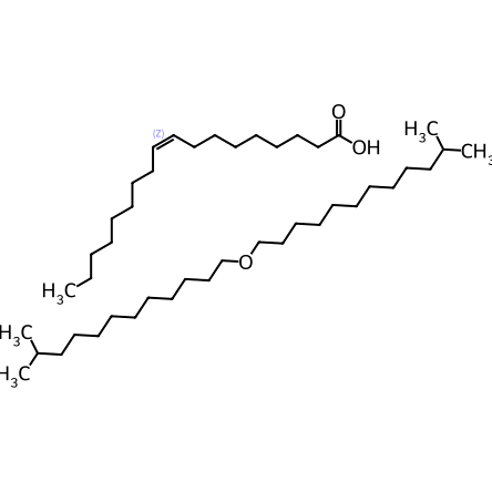 CC(C)CCCCCCCCCCOCCCCCCCCCCC(C)C.CCCCCCCC/C=C\CCCCCCCC(=O)O